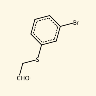 O=[C]CSc1cccc(Br)c1